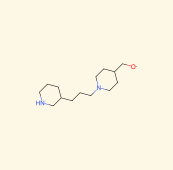 [O]CC1CCN(CCCC2CCCNC2)CC1